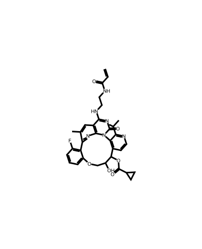 C=CC(=O)NCCNc1nc(=O)n2c3nc(c(C)cc13)-c1c(F)cccc1OCC(O)C(OC(=O)C1CC1)c1ccnc(C(C)C)c1-2